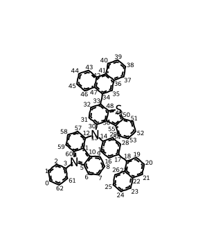 c1ccc(-n2c3ccccc3c3c(N(c4ccc(-c5cccc6ccccc56)cc4)c4ccc(-c5cc6ccccc6c6ccccc56)c5sc6ccccc6c45)cccc32)cc1